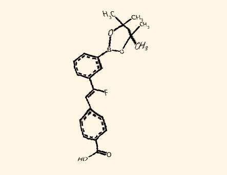 CC1(C)OB(c2cccc(/C(F)=C/c3ccc(C(=O)O)cc3)c2)OC1(C)C